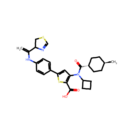 C=C(Nc1ccc(-c2cc(N(C(=O)[C@H]3CC[C@H](C)CC3)C3CCC3)c(C(=O)O)s2)cc1)C1CSC=N1